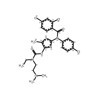 CCN(CCN(C)C)C(=O)Oc1nc(N(C(=O)c2ccc(Cl)cc2Cl)c2ccc(Cl)cc2)sc1C